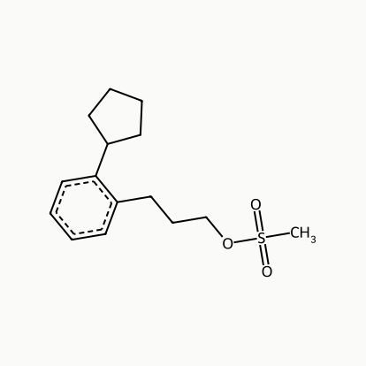 CS(=O)(=O)OCCCc1ccccc1C1CCCC1